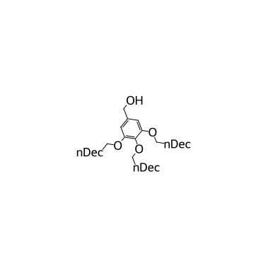 CCCCCCCCCCCOc1cc(CO)cc(OCCCCCCCCCCC)c1OCCCCCCCCCCC